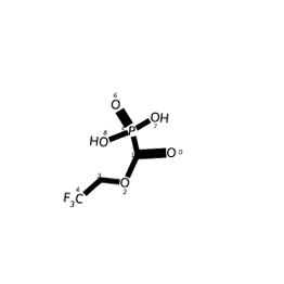 O=C(OCC(F)(F)F)P(=O)(O)O